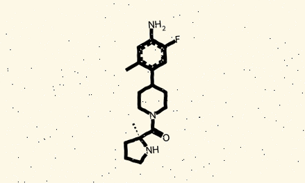 Cc1cc(N)c(F)cc1C1CCN(C(=O)[C@]2(C)CCCN2)CC1